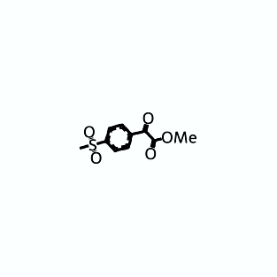 COC(=O)C(=O)c1ccc(S(C)(=O)=O)cc1